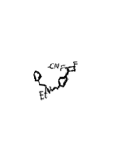 CC#N.CCN(CCCc1ccc(C2CC(F)C2F)cc1)CCc1ccccc1